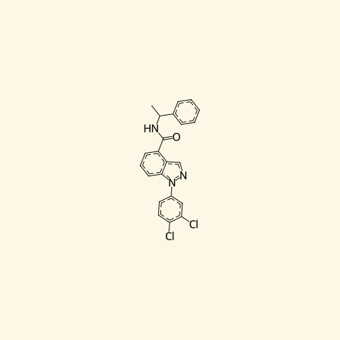 CC(NC(=O)c1cccc2c1cnn2-c1ccc(Cl)c(Cl)c1)c1ccccc1